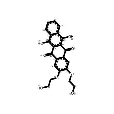 O=C1c2cc(SCCO)c(SCCO)cc2C(=O)c2c1c(O)c1ccccc1c2O